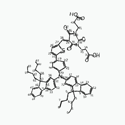 CCCCC1(CCCC)c2ccccc2-c2ccc(N(c3ccc(-c4ccc(C=C5C(=O)N(CCC(=O)O)C(=O)N(CCC(=O)O)C5=O)s4)cc3)c3ccc4c(c3)C(CCCC)(CCCC)c3ccccc3-4)cc21